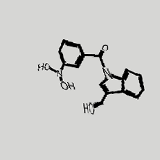 O=C(c1cccc(N(O)O)c1)n1cc(CO)c2ccccc21